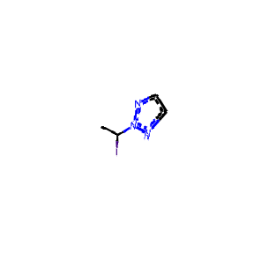 CC(I)n1nccn1